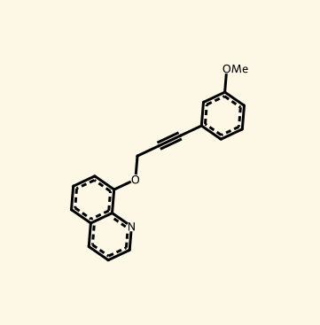 COc1cccc(C#CCOc2cccc3cccnc23)c1